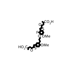 COc1cc2sc(C(=O)C[C@@H](C)C(=O)O)cc2cc1CCCOc1c(OC)cc2sc(C(=O)C[C@@H](C)C(=O)O)cc2c1F